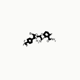 NCC(Oc1ccc(F)c(C(N)=O)c1F)c1nc(-c2ccc(C(F)(F)F)cc2)c(Br)o1